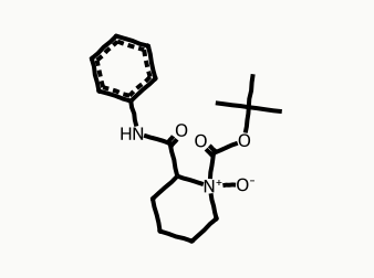 CC(C)(C)OC(=O)[N+]1([O-])CCCCC1C(=O)Nc1ccccc1